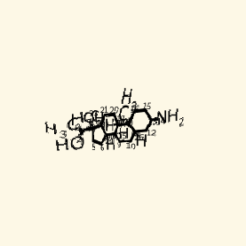 CC(O)[C@@]1(O)CC[C@H]2[C@@H]3CC[C@H]4CC(N)CC[C@]4(C)[C@H]3CC[C@@]21C